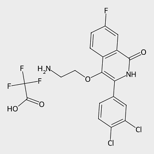 NCCOc1c(-c2ccc(Cl)c(Cl)c2)[nH]c(=O)c2cc(F)ccc12.O=C(O)C(F)(F)F